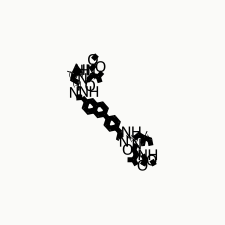 CC[C@]1(C)C[C@@H](c2ncc(-c3ccc(-c4ccc5cc(-c6cnc([C@@H]7C[C@@]8(C)C[C@H]8N7C(=O)[C@@H](NC(=O)OC)C(C)C)[nH]6)ccc5c4)cc3)[nH]2)N(C(=O)[C@@H](NC(=O)OC)C(C)C)C1